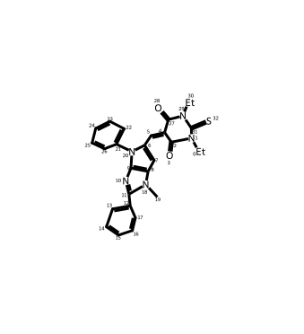 CCN1C(=O)C(=Cc2cc3c(nc(-c4ccccc4)n3C)n2-c2ccccc2)C(=O)N(CC)C1=S